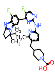 Cc1nc(Nc2ncc(F)c(-c3cc(F)c4nc5n(c4c3)C(C)(C)CC5)n2)ccc1CC1CCN(C(=O)O)CC1